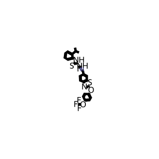 CC(C)c1ccccc1NC(=S)N/N=C/c1ccc2nc(Oc3ccc(OC(F)(F)F)cc3)sc2c1